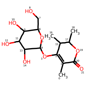 CC1=C(OC2OC(CO)C(O)C(O)C2O)C(C)C(C)OC1=O